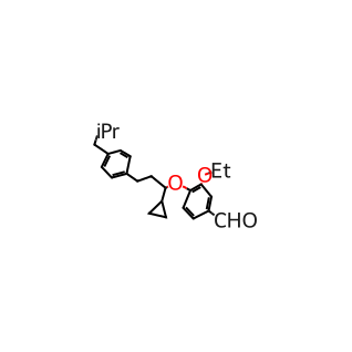 CCOc1cc(C=O)ccc1OC(CCc1ccc(CC(C)C)cc1)C1CC1